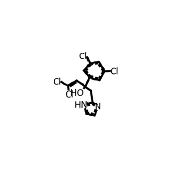 OC(C=C(Cl)Cl)(Cc1ncc[nH]1)c1cc(Cl)cc(Cl)c1